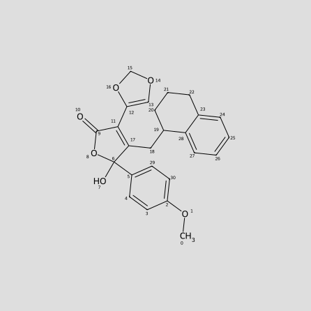 COc1ccc(C2(O)OC(=O)C(C3=COCO3)=C2CC2CCCc3ccccc32)cc1